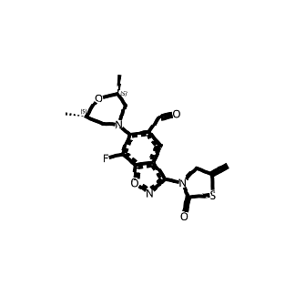 C=C1CN(c2noc3c(F)c(N4C[C@H](C)O[C@@H](C)C4)c(C=O)cc23)C(=O)S1